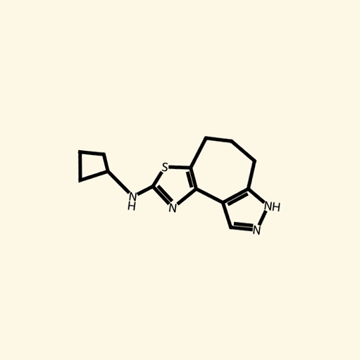 c1n[nH]c2c1-c1nc(NC3CCC3)sc1CCC2